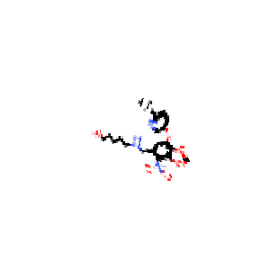 Cc1ccc(Oc2cc(CNCCCCCO)c([N+](=O)[O-])c3c2OCO3)cn1